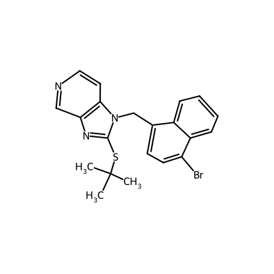 CC(C)(C)Sc1nc2cnccc2n1Cc1ccc(Br)c2ccccc12